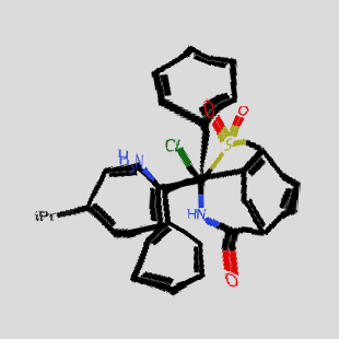 CC(C)c1ccc(C2(Cl)NC(=O)c3ccc(c([C@H](c4ccccc4)[C@H](N)c4ccccc4)c3)S2(=O)=O)cc1